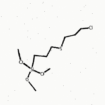 CO[Si](CCCSCCCCl)(OC)OC